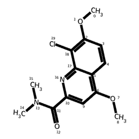 COc1ccc2c(OC)cc(C(=O)N(C)C)nc2c1Cl